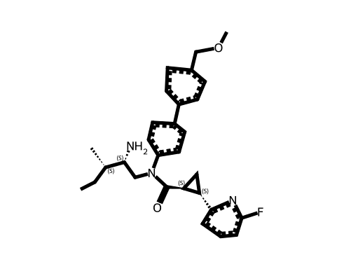 CC[C@H](C)[C@H](N)CN(C(=O)[C@H]1C[C@@H]1c1cccc(F)n1)c1ccc(-c2ccc(COC)cc2)cc1